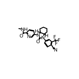 CNC(=O)c1ccc(N2C(=O)N(c3ccc(C#N)c(C(F)(F)F)c3)[C@@H]3CCCC[C@H]32)cn1